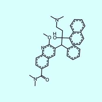 COc1nc2ccc(C(=O)N(C)C)cc2cc1C(c1ccccc1)C(O)(CCN(C)C)c1cccc2ccccc12